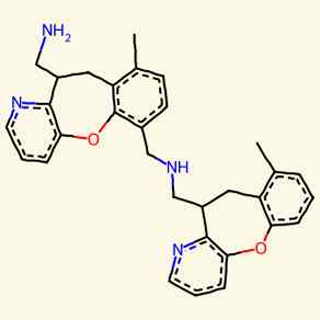 Cc1cccc2c1CC(CNCc1ccc(C)c3c1Oc1cccnc1C(CN)C3)c1ncccc1O2